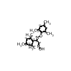 Cc1cc(C)c(ON=C(C=NO)c2c(C)cc(C)cc2C)c(C)c1